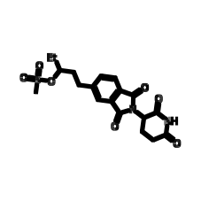 CCC(CCc1ccc2c(c1)C(=O)N(C1CCC(=O)NC1=O)C2=O)OS(C)(=O)=O